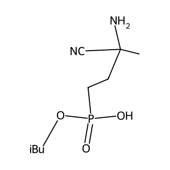 CCC(C)OP(=O)(O)CCC(C)(N)C#N